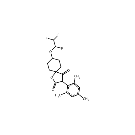 Cc1cc(C)c(C2C(=O)OC3(CCC(OC(F)C(F)F)CC3)C2=O)c(C)c1